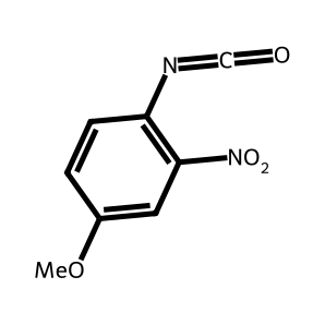 COc1ccc(N=C=O)c([N+](=O)[O-])c1